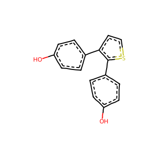 Oc1ccc(-c2ccsc2-c2ccc(O)cc2)cc1